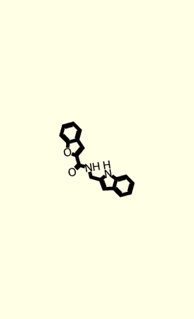 O=C(NCc1cc2ccccc2[nH]1)c1cc2ccccc2o1